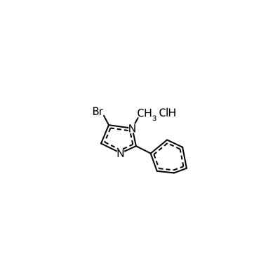 Cl.Cn1c(Br)cnc1-c1ccccc1